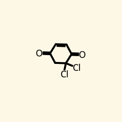 O=C1C=CC(=O)C(Cl)(Cl)C1